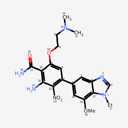 CCn1cnc2cc(-c3cc(OCCN(C)C)c(C(N)=O)c(N)c3[N+](=O)[O-])cc(OC)c21